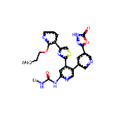 CCNC(=O)Nc1cc(-c2nc(-c3cccnc3OCCOC)cs2)c(-c2cncc(-c3n[nH]c(=O)o3)c2)cn1